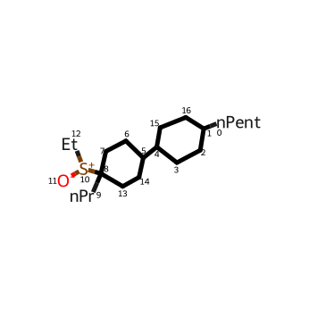 CCCCCC1CCC(C2CCC(CCC)([S+]([O-])CC)CC2)CC1